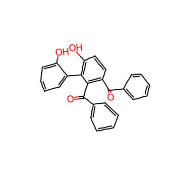 O=C(c1ccccc1)c1ccc(O)c(-c2ccccc2O)c1C(=O)c1ccccc1